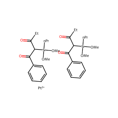 CCC[Si](OC)(OC)C(C(=O)CC)C(=O)c1ccccc1.CCC[Si](OC)(OC)C(C(=O)CC)C(=O)c1ccccc1.[Pt+2]